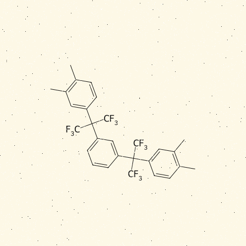 Cc1ccc(C(c2cccc(C(c3ccc(C)c(C)c3)(C(F)(F)F)C(F)(F)F)c2)(C(F)(F)F)C(F)(F)F)cc1C